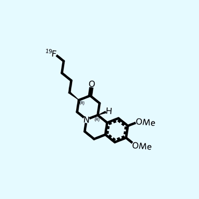 COc1cc2c(cc1OC)[C@H]1CC(=O)[C@H](CCCC[19F])CN1CC2